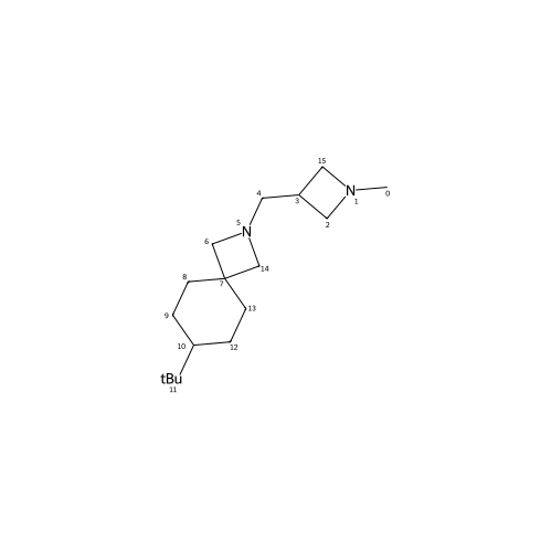 CN1CC(CN2CC3(CCC(C(C)(C)C)CC3)C2)C1